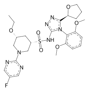 CCO[C@@H]1C[C@H](S(=O)(=O)Nc2nnc([C@@H]3CCCO3)n2-c2c(OC)cccc2OC)CN(c2ncc(F)cn2)C1